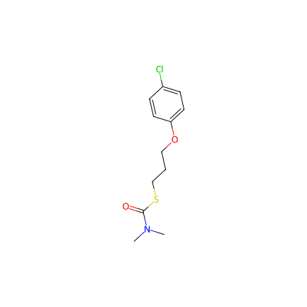 CN(C)C(=O)SCCCOc1ccc(Cl)cc1